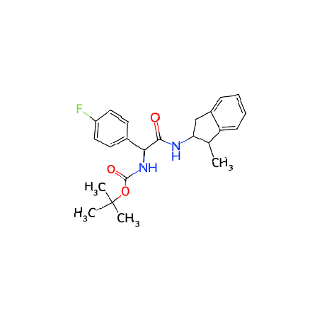 CC1c2ccccc2CC1NC(=O)C(NC(=O)OC(C)(C)C)c1ccc(F)cc1